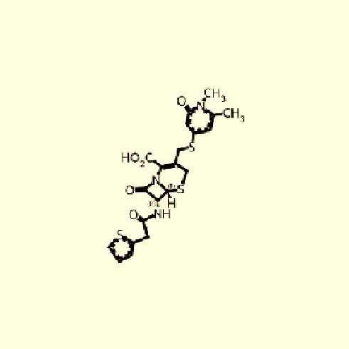 Cc1cc(SCC2=C(C(=O)O)N3C(=O)[C@@H](NC(=O)Cc4cccs4)[C@H]3SC2)cc(=O)n1C